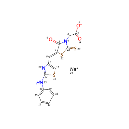 O=C([O-])CN1C(=O)C(=Cc2csc(Nc3ccccc3)n2)SC1=S.[Na+]